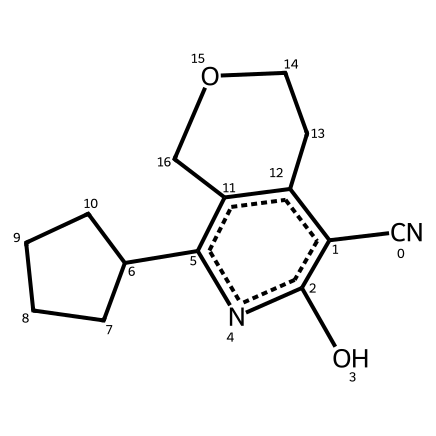 N#Cc1c(O)nc(C2CCCC2)c2c1CCOC2